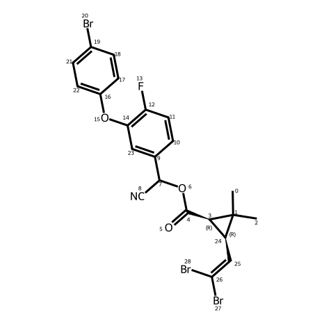 CC1(C)[C@H](C(=O)OC(C#N)c2ccc(F)c(Oc3ccc(Br)cc3)c2)[C@@H]1C=C(Br)Br